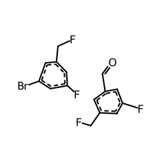 FCc1cc(F)cc(Br)c1.O=Cc1cc(F)cc(CF)c1